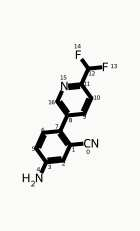 N#Cc1cc(N)ccc1-c1ccc(C(F)F)nc1